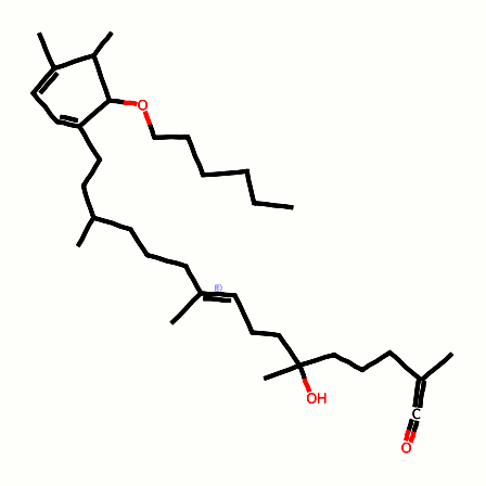 CCCCCCOC1C(CCC(C)CCC/C(C)=C/CCC(C)(O)CCCC(C)=C=O)=CC=C(C)C1C